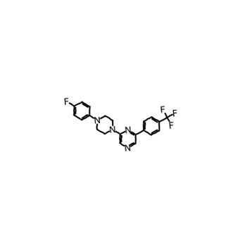 Fc1ccc(N2CCN(c3cncc(-c4ccc(C(F)(F)F)cc4)n3)CC2)cc1